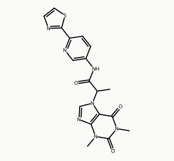 CC(C(=O)Nc1ccc(-c2nccs2)nc1)n1cnc2c1c(=O)n(C)c(=O)n2C